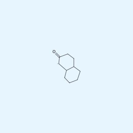 O=C1[CH]C2CCCCC2CC1